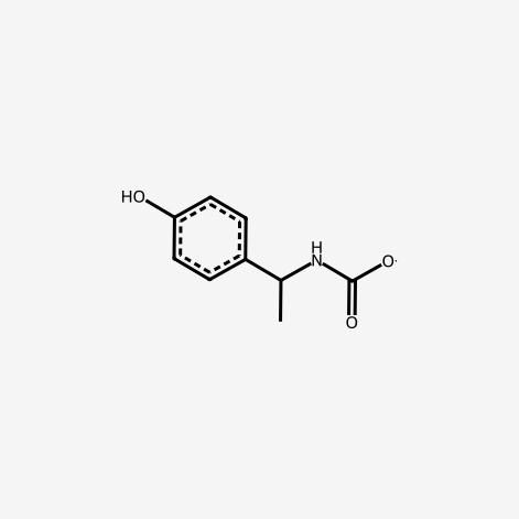 CC(NC([O])=O)c1ccc(O)cc1